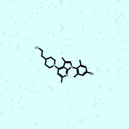 Cc1cc(N2CCC(CCS)CC2)c2c(C)cn(-c3c(C)cc(Br)cc3C)c2n1